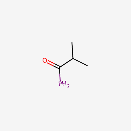 CC(C)C(=O)P